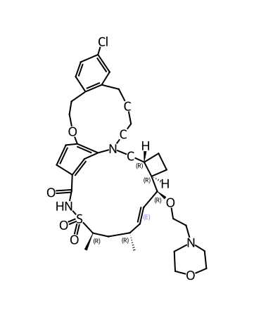 C[C@@H]1C[C@@H](C)/C=C/[C@H](OCCN2CCOCC2)[C@@H]2CC[C@H]2CN2CCCCc3cc(Cl)ccc3CCOc3ccc(cc32)C(=O)NS1(=O)=O